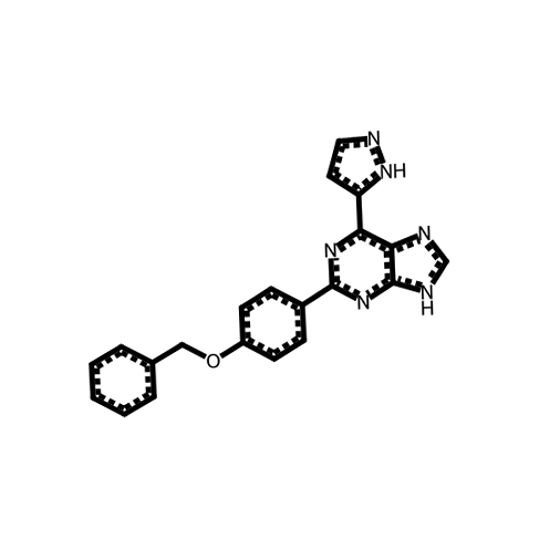 c1ccc(COc2ccc(-c3nc(-c4ccn[nH]4)c4nc[nH]c4n3)cc2)cc1